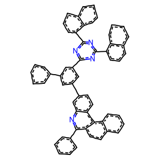 c1ccc(-c2cc(-c3ccc4c(c3)nc(-c3ccccc3)c3ccc5ccccc5c34)cc(-c3nc(-c4cccc5ccccc45)nc(-c4cccc5ccccc45)n3)c2)cc1